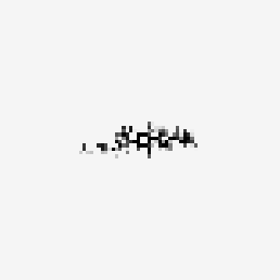 CC(=O)NC[C@H]1CN(c2cc(F)c(-c3ccc(-c4nnn(C)n4)nc3)c(F)c2)C(=O)O1